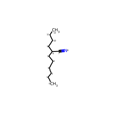 CCCCCCC(C#N)CCCC